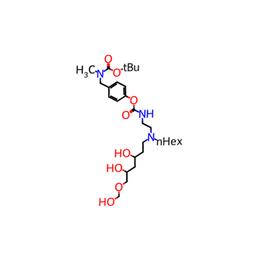 CCCCCCN(CCNC(=O)Oc1ccc(CN(C)C(=O)OC(C)(C)C)cc1)CCC(O)CC(O)COCO